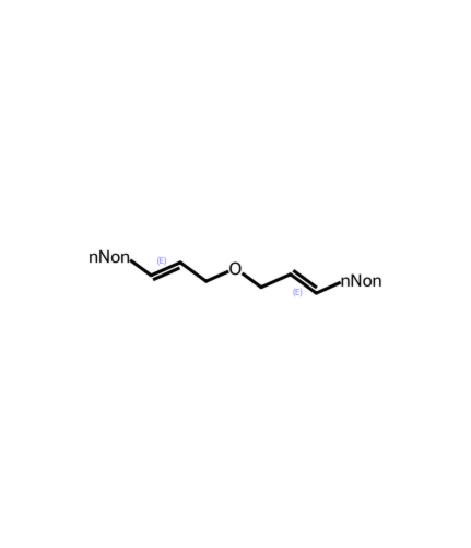 CCCCCCCCC/C=C/COC/C=C/CCCCCCCCC